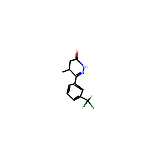 CC1CC(=O)NN=C1c1cccc(C(F)(F)F)c1